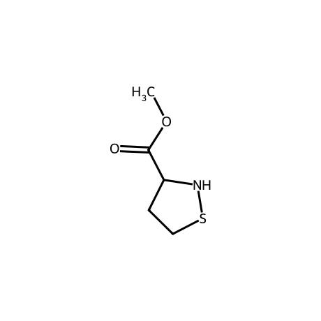 COC(=O)C1CCSN1